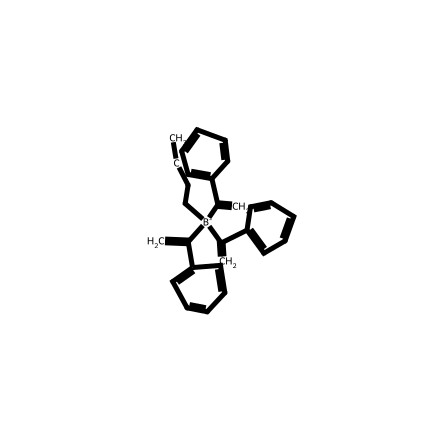 C=C(c1ccccc1)[B-](CCCC)(C(=C)c1ccccc1)C(=C)c1ccccc1